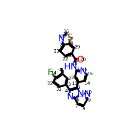 Cc1cc(-c2nc3cccnn3c2-c2ccnc(NC(=O)c3ccc4ncsc4c3)c2)ccc1F